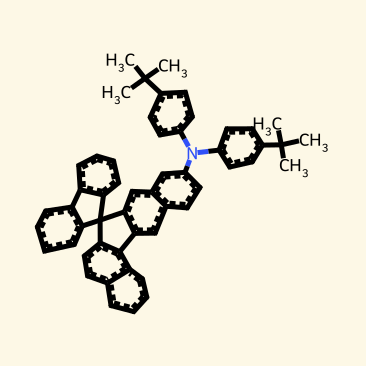 CC(C)(C)c1ccc(N(c2ccc(C(C)(C)C)cc2)c2ccc3cc4c(cc3c2)C2(c3ccccc3-c3ccccc32)c2ccc3ccccc3c2-4)cc1